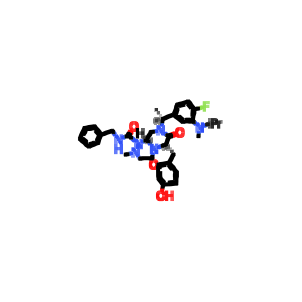 CC(C)N(C)c1cc([C@@H](C)N2C[C@H]3N(C(=O)CN(C)N3C(=O)NCc3ccccc3)[C@@H](Cc3ccc(O)cc3)C2=O)ccc1F